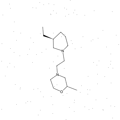 CC[C@H]1CCCN(CCN2CCOC(C)C2)C1